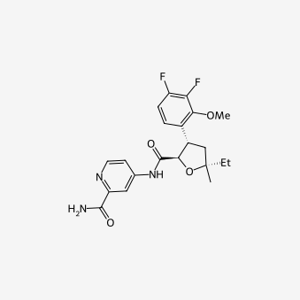 CC[C@@]1(C)C[C@@H](c2ccc(F)c(F)c2OC)[C@H](C(=O)Nc2ccnc(C(N)=O)c2)O1